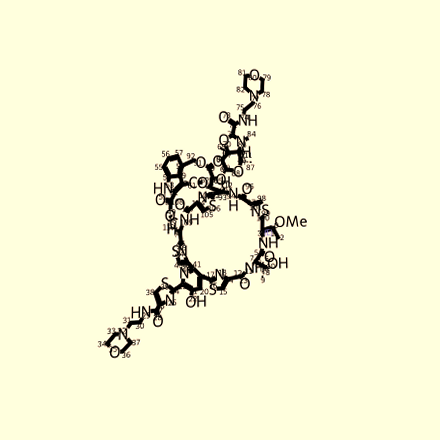 CO/C(C)=C1/NC(=O)[C@H]([C@@H](C)O)NC(=O)c2csc(n2)-c2cc(O)c(-c3nc(C(=O)NCCN4CCOCC4)cs3)nc2-c2csc(n2)[C@@H]2COC(=O)c3[nH]c4cccc5c4c3COC([C@H](O[C@H]3C[C@]4(C)OC(C(=O)NCCN6CCOCC6)N(C)[C@@H]4[C@H](C)O3)C(=O)OC5)[C@H](NC(=O)c3csc1n3)c1nc(cs1)C(=O)N2